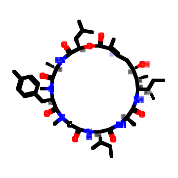 CCC(C)[C@@H]1NC(=O)CN(C)C(=O)[C@@H](Cc2ccc(C)cc2)N(C)C(=O)[C@H](C)NC(=O)[C@@H](CC(C)C)OC(=O)/C(C)=C/C[C@H](O)[C@H](C)[C@@H]([C@@H](C)CC)NC(=O)[C@@H](C)NC1=O